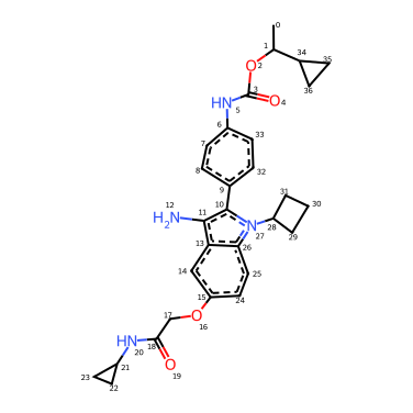 CC(OC(=O)Nc1ccc(-c2c(N)c3cc(OCC(=O)NC4CC4)ccc3n2C2CCC2)cc1)C1CC1